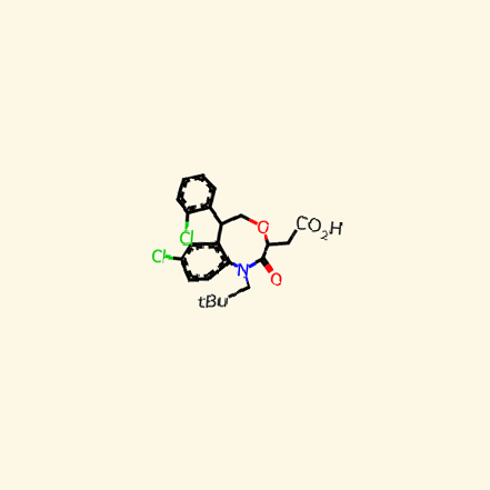 CC(C)(C)CN1C(=O)C(CC(=O)O)OCC(c2ccccc2Cl)c2cc(Cl)ccc21